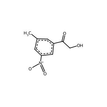 Cc1cc(C(=O)CO)cc([N+](=O)[O-])c1